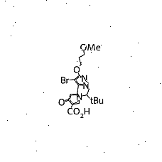 COCCCOc1nn2c(c1Br)-c1cc(=O)c(C(=O)O)cn1C(C(C)(C)C)C2